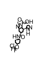 O=C(Nc1ccc(OC(F)(F)Cl)cc1)c1cc(-c2ccn[nH]2)c2c(c1)nc1n2[C@H](CO)COC1